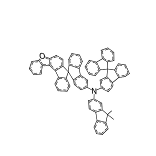 CC1(C)c2ccccc2-c2ccc(N(c3ccc4c(c3)-c3ccccc3C43c4ccccc4-c4c3ccc3oc5ccccc5c43)c3ccc4c(c3)C3(c5ccccc5-c5ccccc53)c3ccccc3-4)cc21